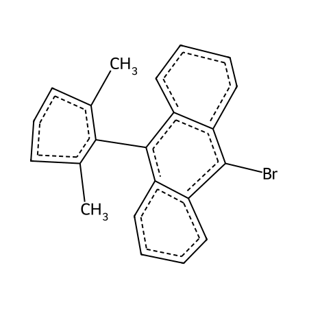 Cc1cccc(C)c1-c1c2ccccc2c(Br)c2ccccc12